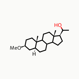 CO[C@H]1CC[C@]2(C)C3CC[C@@]4(C)C(CC[C@@H]4C(C)O)C3CC[C@H]2C1